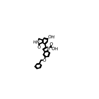 O=C1NCc2cc(O)cc(-c3cc4cc(OCc5ccccc5)ccc4n3C(=O)O)c21